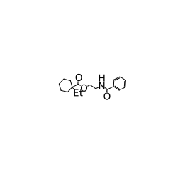 CCC1(C(=O)OCCNC(=O)c2ccccc2)CCCCC1